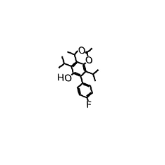 CC(=O)Oc1c(C(C)C)c(-c2ccc(F)cc2)c(O)c(C(C)C)c1C(C)C